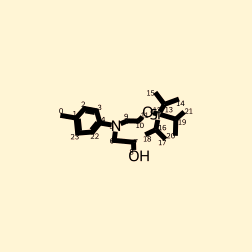 Cc1ccc(N(CCO)CCO[Si](C(C)C)(C(C)C)C(C)C)cc1